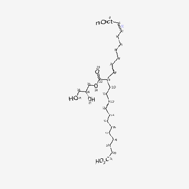 CCCCCCCC/C=C\CCCCCCC(CCCCCCCCCCCC(=O)O)C(=O)OCC(O)CO